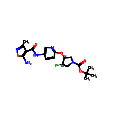 Cc1nsc(N)c1C(=O)Nc1ccc(O[C@@H]2CN(C(=O)OC(C)(C)C)C[C@@H]2F)nc1